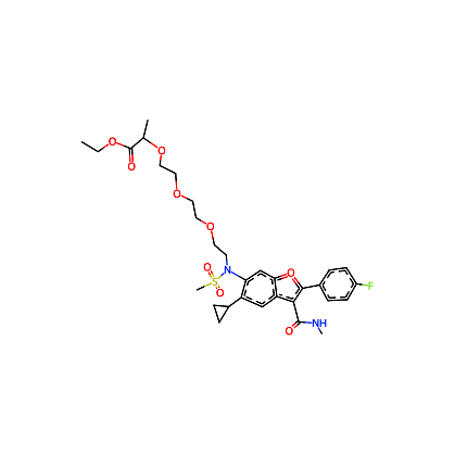 CCOC(=O)C(C)OCCOCCOCCN(c1cc2oc(-c3ccc(F)cc3)c(C(=O)NC)c2cc1C1CC1)S(C)(=O)=O